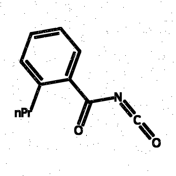 CCCc1ccccc1C(=O)N=C=O